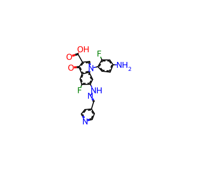 Nc1ccc(-n2cc(C(=O)O)c(=O)c3cc(F)c(N/N=C/c4ccncc4)cc32)c(F)c1